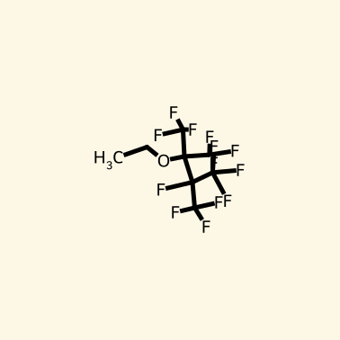 CCOC(C(F)(F)F)(C(F)(F)F)C(F)(C(F)(F)F)C(F)(F)F